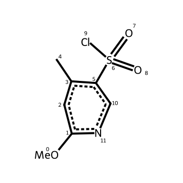 COc1cc(C)c(S(=O)(=O)Cl)cn1